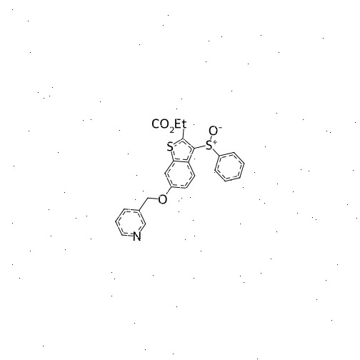 CCOC(=O)c1sc2cc(OCc3cccnc3)ccc2c1[S+]([O-])c1ccccc1